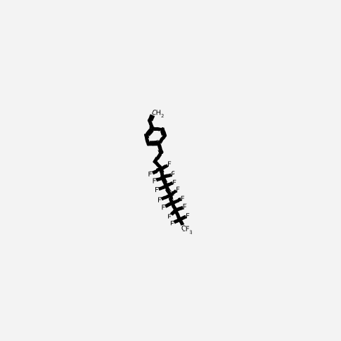 C=Cc1ccc(CCC(F)(F)C(F)(F)C(F)(F)C(F)(F)C(F)(F)C(F)(F)C(F)(F)C(F)(F)F)cc1